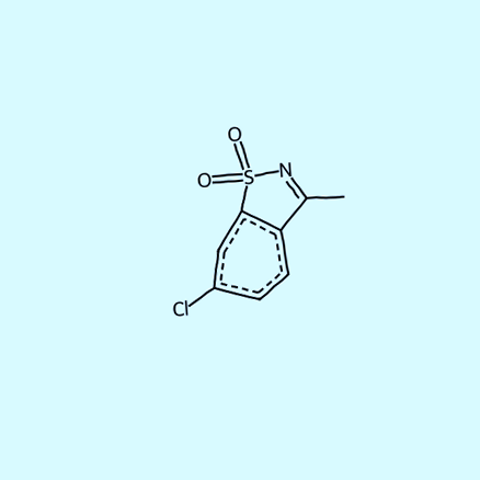 CC1=NS(=O)(=O)c2cc(Cl)ccc21